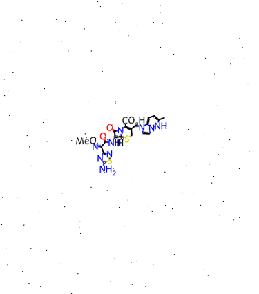 CO/N=C(\C(=O)N[C@@H]1C(=O)N2C(C(=O)O)=C(CN3C=CN4NC(C)=CC=C34)CS[C@@H]12)c1nsc(N)n1